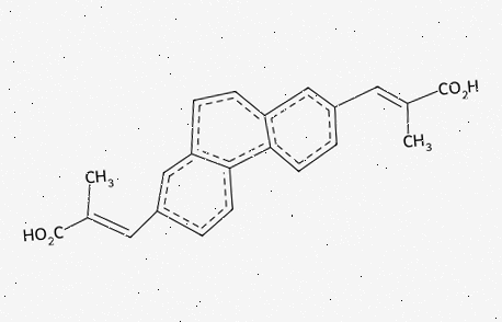 CC(=Cc1ccc2c(ccc3cc(C=C(C)C(=O)O)ccc32)c1)C(=O)O